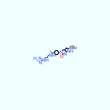 C/N=C(/N)NCCCN[C@@H](C)c1ccc(-n2cc3cc(C(C)(C)C)[nH]c3nc2=O)cc1